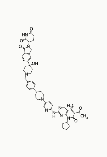 CC(=O)c1c(C)c2cnc(Nc3ccc(N4CCC(c5ccc(CN6CCC(O)(c7ccc8c(c7)CN(C7CCC(=O)NC7=O)C8=O)CC6)cc5)CC4)cn3)nc2n(C2CCCC2)c1=O